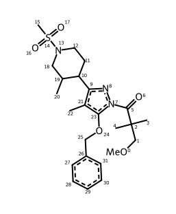 COCC(C)(C)C(=O)n1nc(C2CCN(S(C)(=O)=O)CC2C)c(C)c1OCc1ccccc1